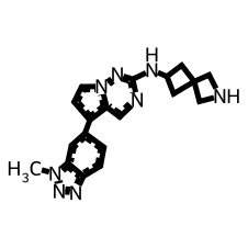 Cn1nnc2ccc(-c3ccn4nc(NC5CC6(CNC6)C5)ncc34)cc21